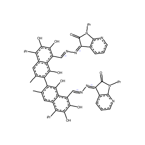 Cc1cc2c(C(C)C)c(O)c(O)c(/C=N/N=C3\C(=O)N(C(C)C)c4ncccc43)c2c(O)c1-c1c(C)cc2c(C(C)C)c(O)c(O)c(/C=N/N=C3/C(=O)N(C(C)C)c4ncccc43)c2c1O